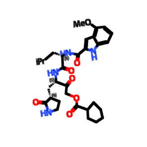 COc1cccc2[nH]c(C(=O)N[C@@H](CC(C)C)C(=O)N[C@@H](C[C@@H]3CCNC3=O)C(=O)COC(=O)C3CCCCC3)cc12